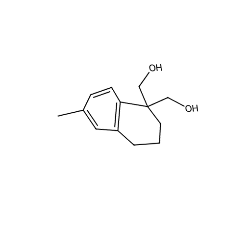 Cc1ccc2c(c1)CCCC2(CO)CO